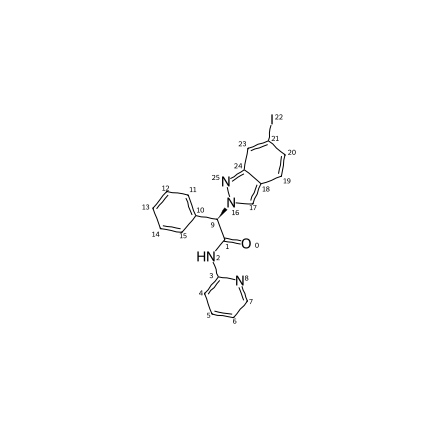 O=C(Nc1ccccn1)[C@@H](c1ccccc1)n1cc2ccc(I)cc2n1